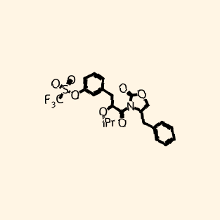 CC(C)OC(Cc1cccc(OS(=O)(=O)C(F)(F)F)c1)C(=O)N1C(=O)OCC1Cc1ccccc1